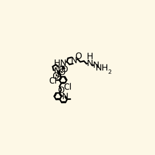 Cc1ccc2cccc(OCc3c(Cl)ccc(S(=O)(=O)N4CCC[C@H]4C(=O)NC4CCN(C(=O)CCCNC=NN)CC4)c3Cl)c2n1